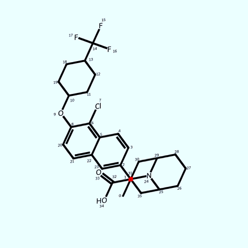 CC(c1ccc2c(Cl)c(OC3CCC(C(F)(F)F)CC3)ccc2c1)N1C2CCCC1CC(C(=O)O)C2